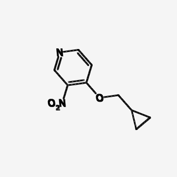 O=[N+]([O-])c1cnccc1OCC1CC1